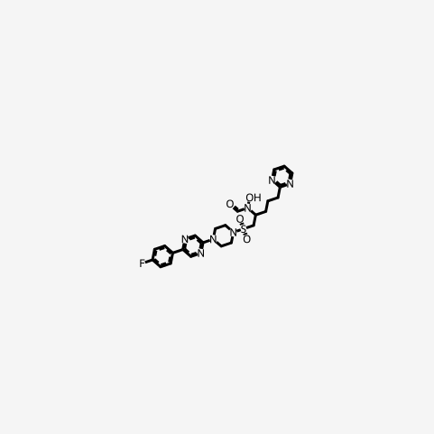 O=CN(O)C(CCCc1ncccn1)CS(=O)(=O)N1CCN(c2cnc(-c3ccc(F)cc3)cn2)CC1